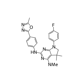 CNc1nc(Nc2ccc(-c3nnc(C)o3)cc2)nc2c1C(C)(C)CN2c1ccc(F)cc1